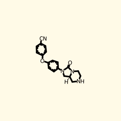 N#Cc1ccc(Oc2ccc(N3C[C@@H]4CNCCN4C3=O)cc2)cc1